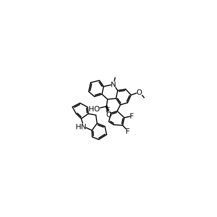 COc1cc(-c2c(F)ccc(F)c2F)c2c(c1)N(C)c1ccccc1C2C(=O)O.c1ccc2c(c1)Cc1ccccc1N2